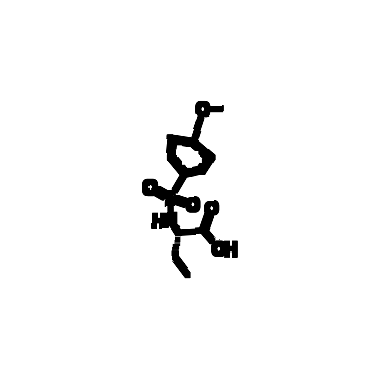 CC[C@H](NS(=O)(=O)c1ccc(OC)cc1)C(=O)O